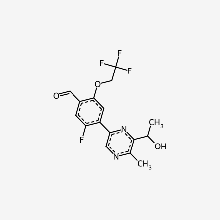 Cc1ncc(-c2cc(OCC(F)(F)F)c(C=O)cc2F)nc1C(C)O